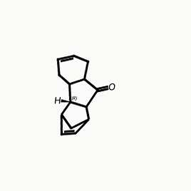 O=C1C2CC=CCC2[C@H]2C3C=CC(C3)C12